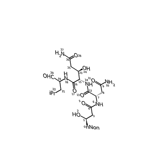 CCCCCCCCC[C@@H](O)CC(=O)N[C@@H](CC(N)=O)C(=O)N[C@H](C(=O)NC(C=O)CC(C)C)[C@H](O)CC(N)=O